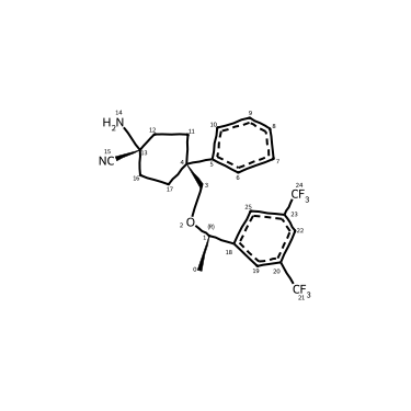 C[C@@H](OC[C@]1(c2ccccc2)CC[C@](N)(C#N)CC1)c1cc(C(F)(F)F)cc(C(F)(F)F)c1